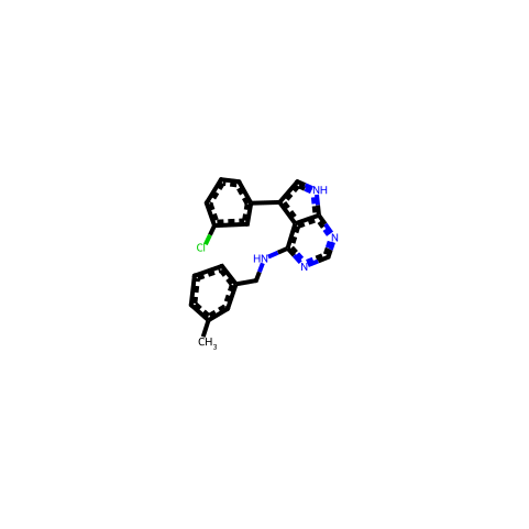 Cc1cccc(CNc2ncnc3[nH]cc(-c4cccc(Cl)c4)c23)c1